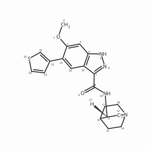 COc1cc2[nH]nc(C(=O)N[C@@H]3CN4CCC3CC4)c2cc1-c1ccsc1